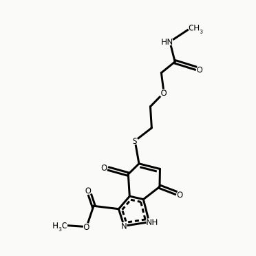 CNC(=O)COCCSC1=CC(=O)c2[nH]nc(C(=O)OC)c2C1=O